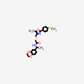 CSc1ccc(-c2nc(CSCC(=O)NC(C)c3ccc4c(c3)OCCO4)c(C)o2)cc1